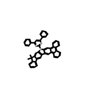 CC1(C)c2ccccc2-c2cc3c4cc5c6ccccc6c6ccccc6c5cc4n(-c4nc(-c5ccccc5)cc(-c5ccccc5)n4)c3cc21